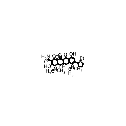 CCN1CCCC1c1cc(O)c2c(c1N(C)C)C[C@H]1C[C@H]3[C@H](N(C)C)C(O)=C(C(N)=O)C(=O)[C@@]3(O)C(O)=C1C2=O